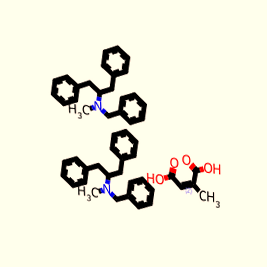 C/C(=C/C(=O)O)C(=O)O.CN(Cc1ccccc1)C(Cc1ccccc1)Cc1ccccc1.CN(Cc1ccccc1)C(Cc1ccccc1)Cc1ccccc1